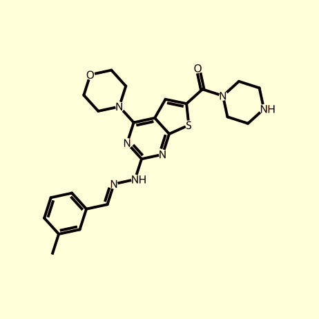 Cc1cccc(/C=N/Nc2nc(N3CCOCC3)c3cc(C(=O)N4CCNCC4)sc3n2)c1